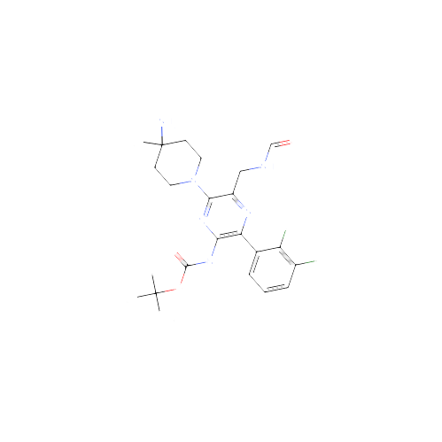 CC1(N)CCN(c2nc(NC(=O)OC(C)(C)C)c(-c3cccc(Cl)c3Cl)nc2CNC=O)CC1